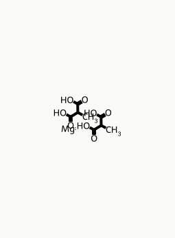 CC(C(=O)O)C(=O)O.CC(C(=O)O)C(=O)O.[Mg]